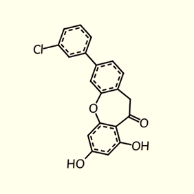 O=C1Cc2ccc(-c3cccc(Cl)c3)cc2Oc2cc(O)cc(O)c21